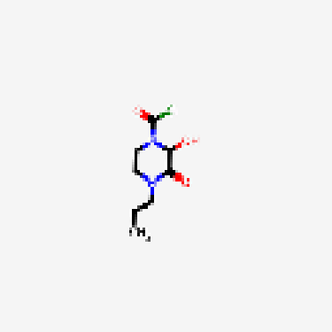 CCCN1CCN(C(=O)Cl)C(O)C1=O